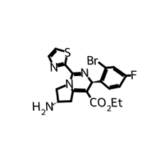 CCOC(=O)C1=C2C[C@H](N)CN2C(c2nccs2)=N[C@H]1c1ccc(F)cc1Br